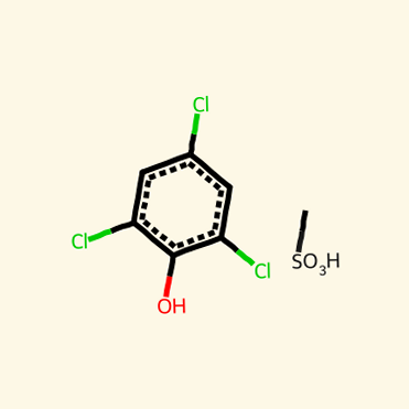 CS(=O)(=O)O.Oc1c(Cl)cc(Cl)cc1Cl